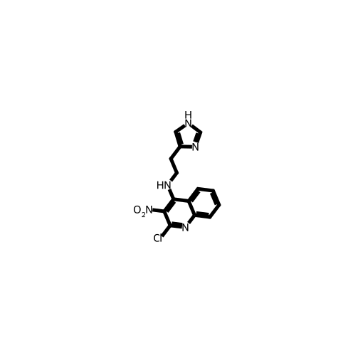 O=[N+]([O-])c1c(Cl)nc2ccccc2c1NCCc1c[nH]cn1